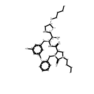 CCCCO[C@H]1CN[C@@H]([C@@H](O)[C@H](Cc2cc(F)cc(F)c2)NC(=O)C2CN(CCCC)C(=O)N2Cc2ccccc2)C1